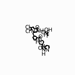 O=C(O)C(F)(F)F.O=C(c1cc(Cc2c[nH]c(=O)c3cc(Cl)c(Cl)n23)ccc1F)N1CCC(n2c(=O)[nH]c3ncccc32)CC1